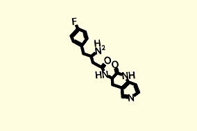 NC(CC(=O)NC1Cc2cnccc2NC1=O)Cc1ccc(F)cc1